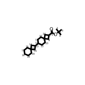 CC(C)(C)OC(=O)C1CC2(CCC(C3CC4(CCCCC4)C3)CC2)C1